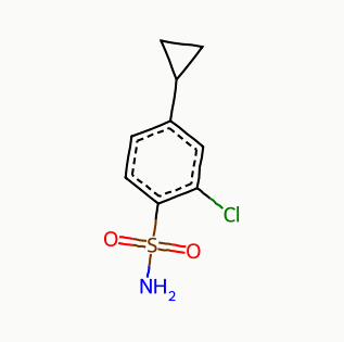 NS(=O)(=O)c1ccc(C2CC2)cc1Cl